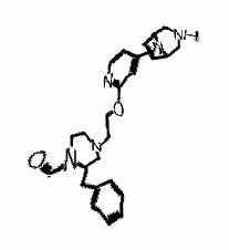 O=[C]N1CCN(CCOc2cc(N3C4CCC3CNC4)ccn2)CC1Cc1ccccc1